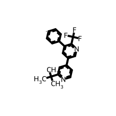 CC(C)(C)c1cc(-c2cnc(C(F)(F)F)c(-c3cc[c]cc3)c2)ccn1